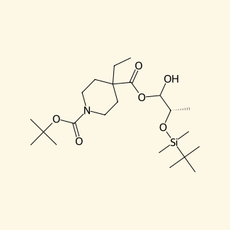 CCC1(C(=O)OC(O)[C@H](C)O[Si](C)(C)C(C)(C)C)CCN(C(=O)OC(C)(C)C)CC1